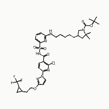 CC(C)(C)OC(=O)N1CC(CCCCCNc2cccc(S(=O)(=O)NC(=O)c3ccc(-n4ccc(OCCC5CC5C(F)(F)F)n4)nc3Cl)n2)CC1(C)C